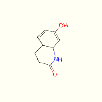 O=C1CCC2C=CC(O)=CC2N1